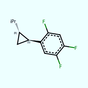 CC(C)[C@H]1C[C@@H]1c1cc(F)c(F)cc1F